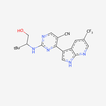 CC(C)(C)C(CO)Nc1ncc(C#N)c(-c2c[nH]c3ncc(C(F)(F)F)cc23)n1